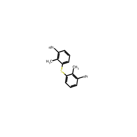 CCCc1cccc(Sc2cccc(CCC)c2C)c1C